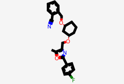 Cc1oc(-c2ccc(F)cc2)nc1CO[C@H]1CCC[C@@H](OCc2ccccc2C#N)C1